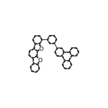 c1cc(-c2ccc3c4ccccc4c4ccccc4c3c2)cc(-c2cccc3c2oc2c3ccc3c4ccccc4oc32)c1